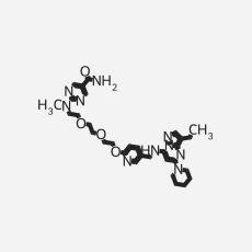 CCc1cnn2c(NCc3ccc(OCCOCCOCCN(C)c4ncc(C(N)=O)cn4)nc3)cc(N3CCCCC3)nc12